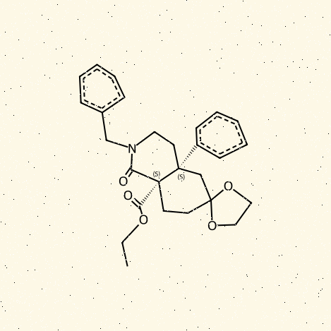 CCOC(=O)[C@@]12CCC3(C[C@]1(c1ccccc1)CCN(Cc1ccccc1)C2=O)OCCO3